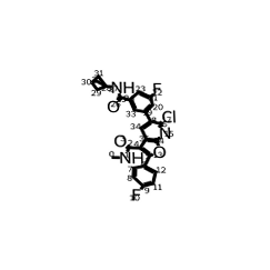 CNC(=O)c1c(-c2ccc(F)cc2)oc2nc(Cl)c(-c3cc(F)cc(C(=O)NC45CC(C4)C5)c3)cc12